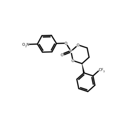 O=[N+]([O-])c1ccc(OP2(=O)OCC[C@@H](c3ccccc3C(F)(F)F)O2)cc1